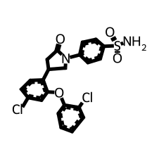 NS(=O)(=O)c1ccc(N2CC(c3ccc(Cl)cc3Oc3ccccc3Cl)CC2=O)cc1